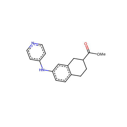 COC(=O)C1CCc2ccc(Nc3ccncc3)cc2C1